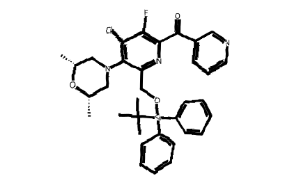 C[C@@H]1CN(c2c(CO[Si](c3ccccc3)(c3ccccc3)C(C)(C)C)nc(C(=O)c3cccnc3)c(F)c2Cl)C[C@H](C)O1